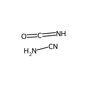 N#CN.N=C=O